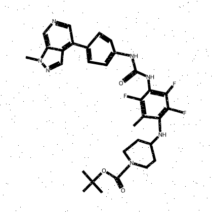 Cc1c(F)c(NC(=O)Nc2ccc(-c3cncc4c3cnn4C)cc2)c(F)c(F)c1NC1CCN(C(=O)OC(C)(C)C)CC1